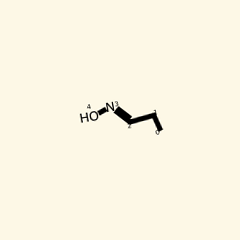 C[CH]/C=N/O